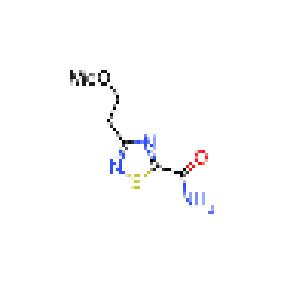 COCCc1nsc(C(N)=O)n1